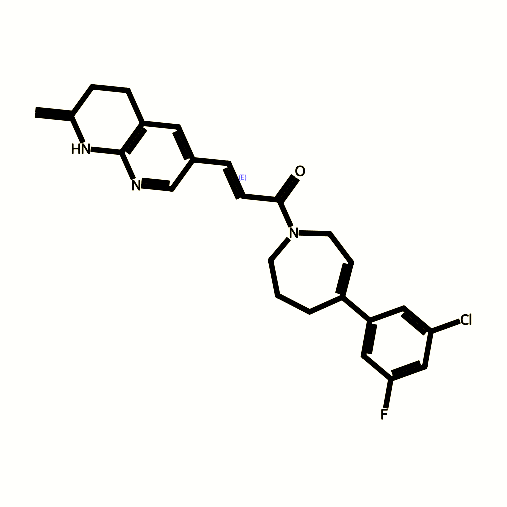 C=C1CCc2cc(/C=C/C(=O)N3CC=C(c4cc(F)cc(Cl)c4)CCC3)cnc2N1